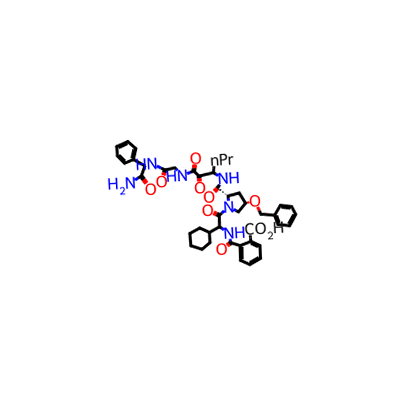 CCCC(NC(=O)[C@@H]1C[C@@H](OCc2ccccc2)CN1C(=O)C(NC(=O)c1ccccc1C(=O)O)C1CCCCC1)C(=O)C(=O)NCC(=O)NC(C(N)=O)c1ccccc1